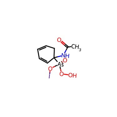 CC(=O)NC1([As](=O)(OO)OI)C=CC=CC1